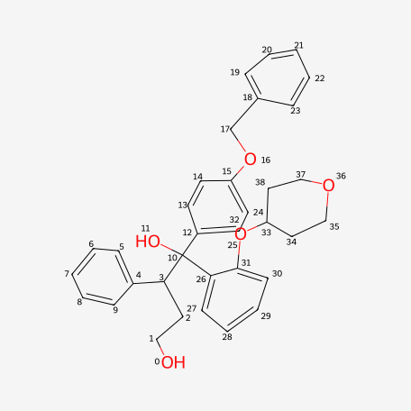 OCCC(c1ccccc1)C(O)(c1ccc(OCc2ccccc2)cc1)c1ccccc1OC1CCOCC1